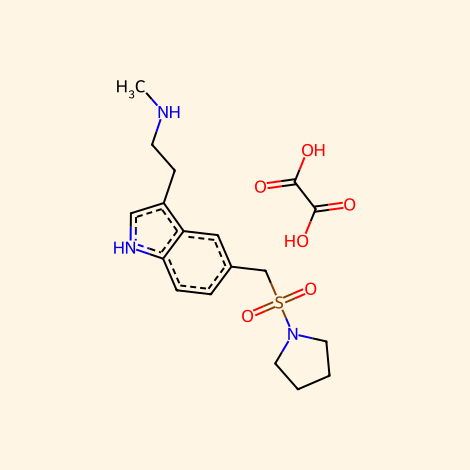 CNCCc1c[nH]c2ccc(CS(=O)(=O)N3CCCC3)cc12.O=C(O)C(=O)O